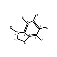 Cc1c(C)c(C)c2c(c1C)CCN2C